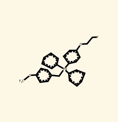 FCCOc1ccc([PH](Cc2ccc(SC(F)(F)F)cc2)(c2ccccc2)c2ccccc2)cc1